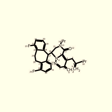 C=C1C=NN2C(=C1CC(=C)C(C)C)C(=O)N(C(C)C)CC2C1c2cccc(F)c2CCc2c(F)cccc21